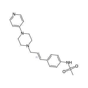 CS(=O)(=O)Nc1ccc(/C=C/CN2CCN(c3ccncc3)CC2)cc1